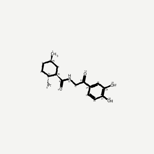 CC(C)[C@@H]1CC[C@@H](C)C[C@H]1C(=O)NCC(=O)c1ccc(O)c(O)c1